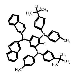 Cc1ccc(N(c2ccc(C(C)(C)C)cc2)c2cc(N(c3ccc4ccccc4c3)c3ccc4ccccc4c3)cc(N(c3ccc(C)cc3)c3ccc(C(C)(C)C)cc3)c2Cl)cc1